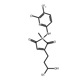 CCC(O)CCC1=CC(=O)[N+](C)(Nc2ccc(C(F)(F)F)c(Cl)n2)C1=O